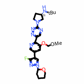 COCOc1cc(-c2cn(C3CCCCO3)nc2F)cnc1-c1cnc(N2CC[C@H](NC(C)(C)C)C2)nn1